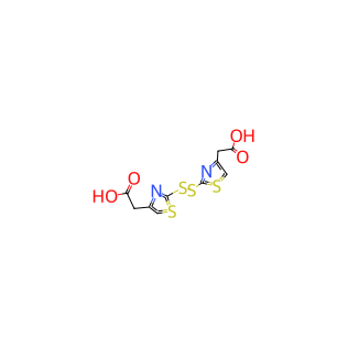 O=C(O)Cc1csc(SSc2nc(CC(=O)O)cs2)n1